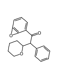 O=C(c1cccc2c1O2)C(c1ccccc1)C1CCCCO1